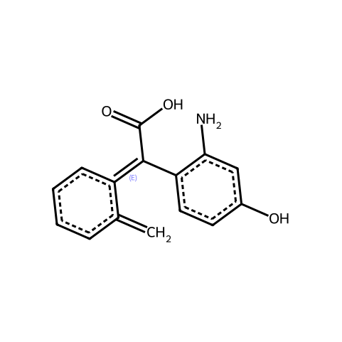 C=c1cccc/c1=C(\C(=O)O)c1ccc(O)cc1N